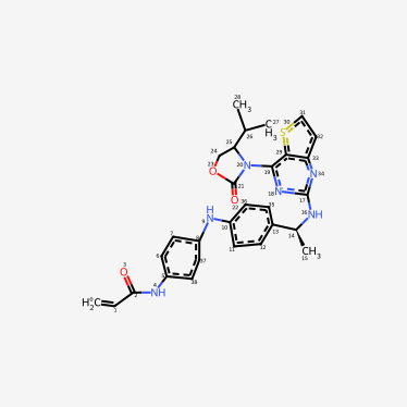 C=CC(=O)Nc1ccc(Nc2ccc([C@H](C)Nc3nc(N4C(=O)OCC4C(C)C)c4sccc4n3)cc2)cc1